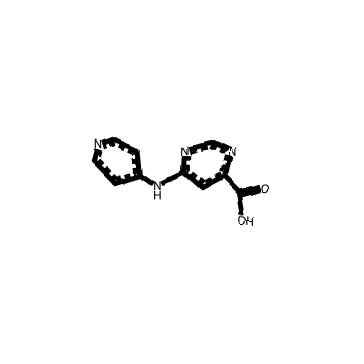 O=C(O)c1cc(Nc2ccncc2)ncn1